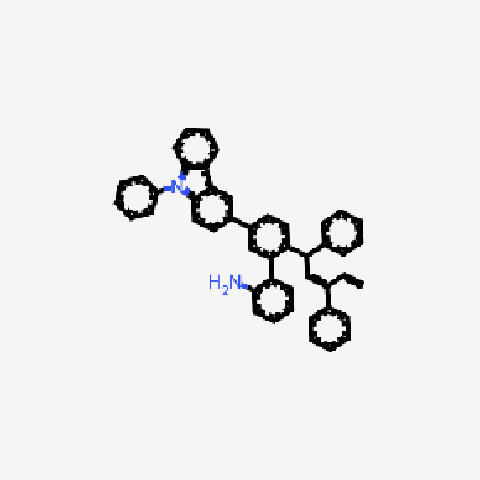 C=C/C(=C\C(c1ccccc1)c1ccc(-c2ccc3c(c2)c2ccccc2n3-c2ccccc2)cc1-c1ccccc1N)c1ccccc1